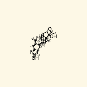 CC(=O)[C@@]1(O)CC[C@H]2[C@@H]3C[C@H](C)C4=Cc5nn(O)cc5C[C@]4(C)[C@H]3CC[C@@]21C